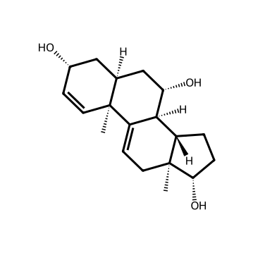 C[C@]12CC=C3[C@@H]([C@@H](O)C[C@@H]4C[C@@H](O)C=C[C@]34C)[C@@H]1CC[C@@H]2O